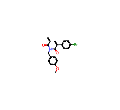 C=CC(=O)N(Cc1ccc(OC)cc1)C(=O)C(=C)c1ccc(Br)cc1